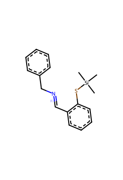 C[Si](C)(C)Sc1ccccc1/C=N/Cc1ccccc1